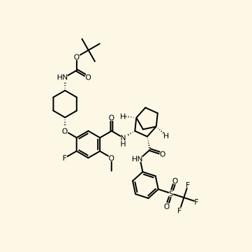 COc1cc(F)c(O[C@H]2CC[C@@H](NC(=O)OC(C)(C)C)CC2)cc1C(=O)N[C@@H]1[C@H]2CC[C@H](C2)[C@@H]1C(=O)Nc1cccc(S(=O)(=O)C(F)(F)F)c1